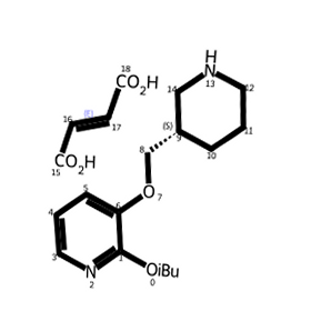 CC(C)COc1ncccc1OC[C@H]1CCCNC1.O=C(O)/C=C/C(=O)O